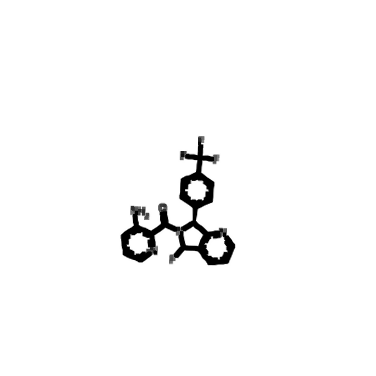 Nc1cccnc1C(=O)N1C(F)c2cccnc2[C@@H]1c1ccc(C(F)(F)F)cc1